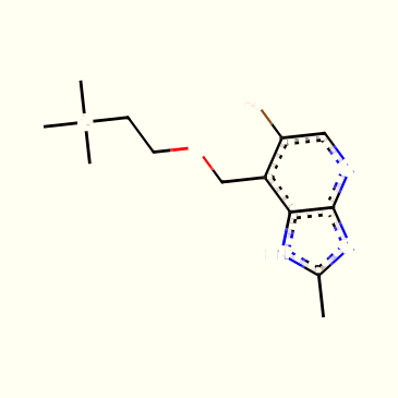 Cc1nc2ncc(Br)c(COCC[Si](C)(C)C)c2[nH]1